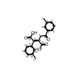 Cc1cccc(C(=O)C/C(C(=O)O)=C(\C(=O)O)c2cccc(C)c2)c1